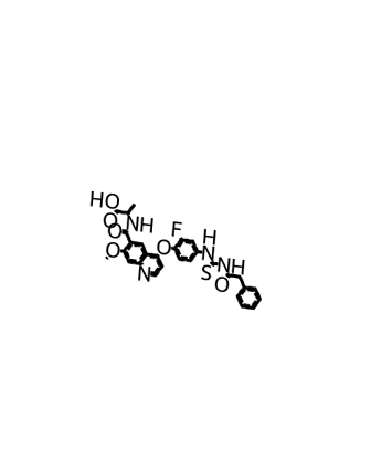 COc1cc2nccc(Oc3ccc(NC(=S)NC(=O)Cc4ccccc4)cc3F)c2cc1C(=O)NC(C)C(=O)O